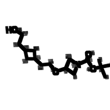 CC(C)(C)OC(=O)N1CC(OCCC2CC(CCO)C2)C1